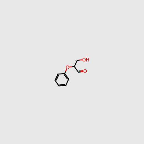 O=CC([CH]O)Oc1ccccc1